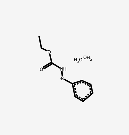 CCOC(=O)N[B]c1ccccc1.O.O